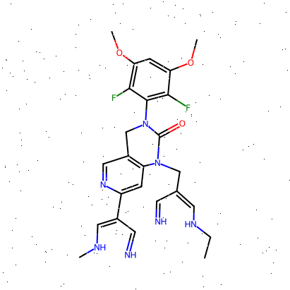 CCN/C=C(\C=N)CN1C(=O)N(c2c(F)c(OC)cc(OC)c2F)Cc2cnc(/C(C=N)=C/NC)cc21